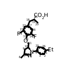 CCc1ccc(N2N=C(C)CC2COc2c(F)cc(C[C@@H](C)C(=O)O)cc2F)cc1